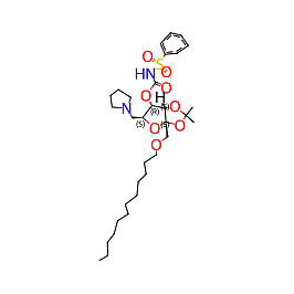 CCCCCCCCCCCCOC[C@@]12O[C@@H](CN3CCCC3)[C@@H](OC(=O)NS(=O)(=O)c3ccccc3)[C@@H]1OC(C)(C)O2